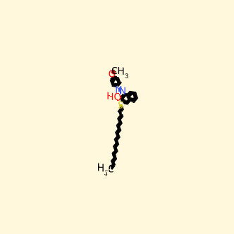 CCCCCCCCCCCCCCCCCCSc1cc2ccccc2c(N=Nc2ccc(OC)cc2)c1O